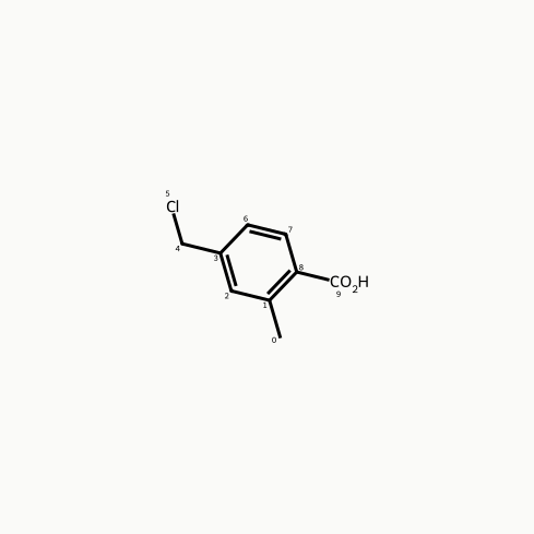 Cc1cc(CCl)ccc1C(=O)O